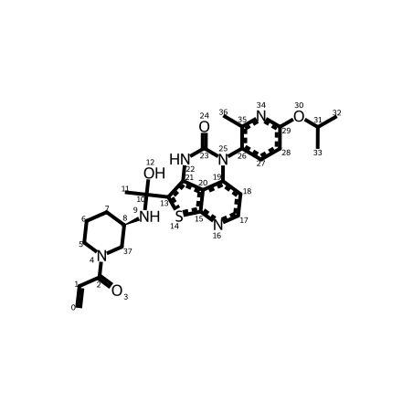 C=CC(=O)N1CCC[C@@H](NC(C)(O)c2sc3nccc4c3c2NC(=O)N4c2ccc(OC(C)C)nc2C)C1